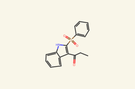 CCC(=O)c1c(S(=O)(=O)c2ccccc2)[nH]c2ccccc12